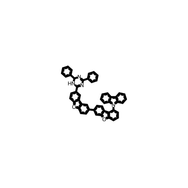 c1ccc(C2=NC(c3ccccc3)NC(c3ccc4oc5ccc(-c6ccc7c(c6)oc6cccc(-n8c9ccccc9c9ccccc98)c67)cc5c4c3)=N2)cc1